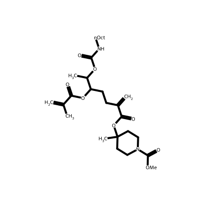 C=C(C)C(=O)OC(CCC(=C)C(=O)OC1(C)CCN(C(=O)OC)CC1)C(C)OC(=O)NCCCCCCCC